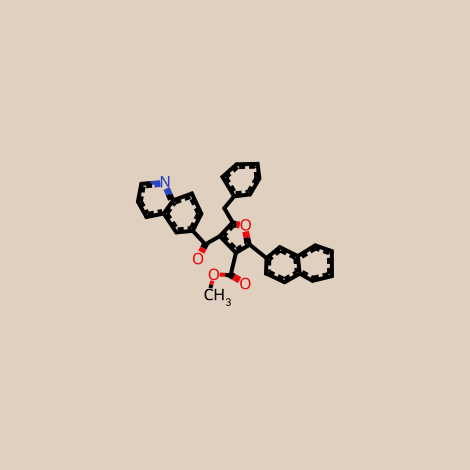 COC(=O)c1c(-c2ccc3ccccc3c2)oc(Cc2ccccc2)c1C(=O)c1ccc2ncccc2c1